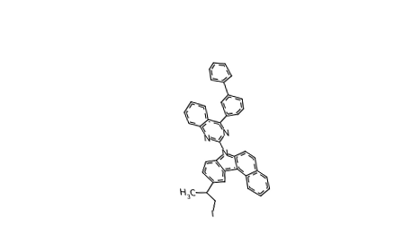 CC(CI)c1ccc2c(c1)c1c3ccccc3ccc1n2-c1nc(-c2cccc(-c3ccccc3)c2)c2ccccc2n1